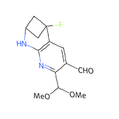 COC(OC)c1nc2c(cc1C=O)C1(F)CC(C1)N2